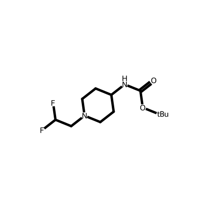 CC(C)(C)OC(=O)NC1CCN(CC(F)F)CC1